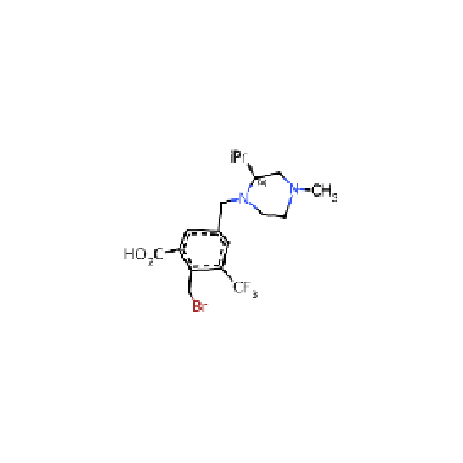 CC(C)[C@H]1CN(C)CCN1Cc1cc(C(=O)O)c(CBr)c(C(F)(F)F)c1